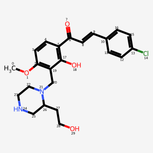 COc1ccc(C(=O)/C=C/c2ccc(Cl)cc2)c(O)c1CN1CCNCC1CCO